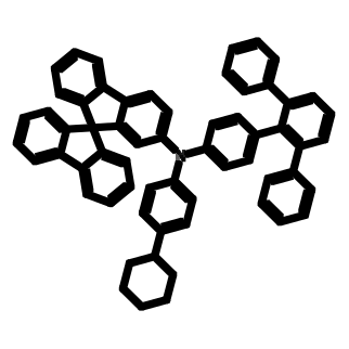 c1ccc(-c2cccc(-c3ccccc3)c2-c2ccc(N(c3ccc(C4CCCCC4)cc3)c3ccc4c(c3)C3(c5ccccc5-c5ccccc53)c3ccccc3-4)cc2)cc1